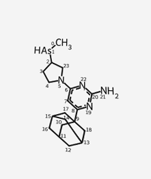 C[AsH]C1CCN(c2cc(C34CC5CC(CC(C5)C3)C4)nc(N)n2)C1